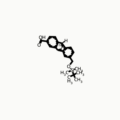 CC(C)(C)[Si](C)(C)OCc1ccc2c(c1)C1O[C@@H]2c2ccc(C(=O)O)cc21